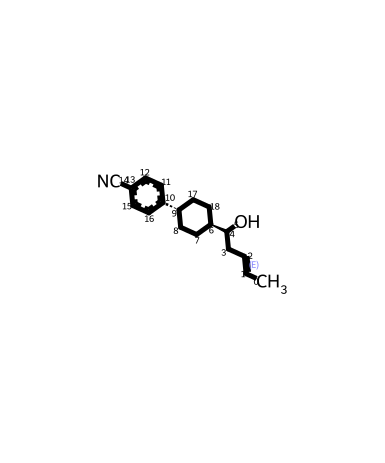 C/C=C/CC(O)[C@H]1CC[C@H](c2ccc(C#N)cc2)CC1